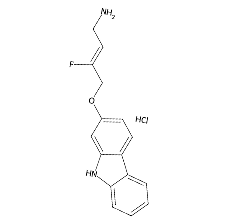 Cl.NCC=C(F)COc1ccc2c(c1)[nH]c1ccccc12